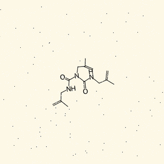 C=C(C)CNC(=O)N(CC(=C)C)C(=O)NCC(=C)C